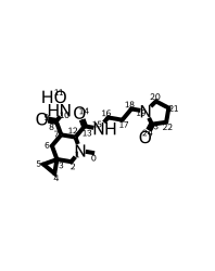 CN1CC2(CC2)CC(C(=O)NO)C1C(=O)NCCCN1CCCC1=O